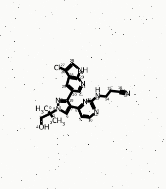 CC(C)(CO)n1cc(-c2ccnc(NCCC#N)n2)c(-c2cnc3[nH]cc(Cl)c3c2)n1